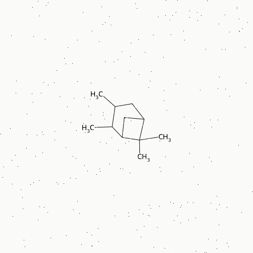 CC1CC2CC(C1C)C2(C)C